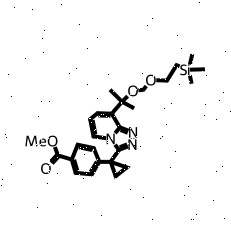 COC(=O)c1ccc(C2(c3nnc4c(C(C)(C)OCOCC[Si](C)(C)C)cccn34)CC2)cc1